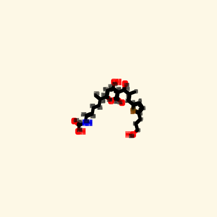 CC(=Cc1ccc(CCCO)s1)C(=O)c1c(O)cc(C(C)CCC=CNC(=O)O)oc1=O